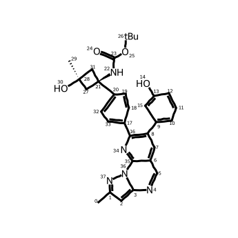 Cc1cc2ncc3cc(-c4cccc(O)c4)c(-c4ccc([C@]5(NC(=O)OC(C)(C)C)C[C@@](C)(O)C5)cc4)nc3n2n1